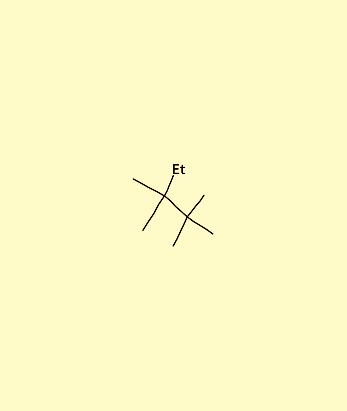 [CH2]CC(C)(C)C(C)(C)C